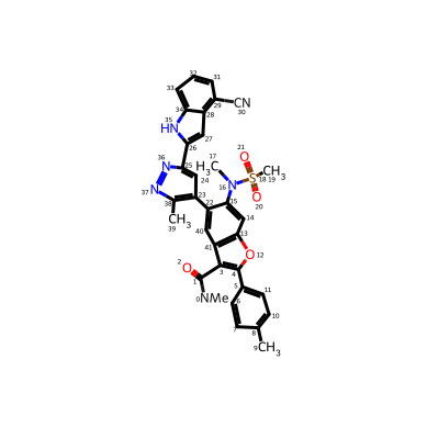 CNC(=O)c1c(-c2ccc(C)cc2)oc2cc(N(C)S(C)(=O)=O)c(-c3cc(-c4cc5c(C#N)cccc5[nH]4)nnc3C)cc12